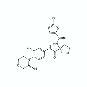 N=C1COCCN1c1ccc(NC(=O)C2(NC(=O)c3ccc(Br)s3)CCCC2)cc1Cl